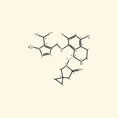 Cn1nnc(COc2c(F)cc(Cl)c3c2[C@@H](CN2CC4(CC4)CC2=O)NCC3)c1C(F)F